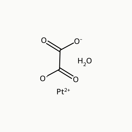 O.O=C([O-])C(=O)[O-].[Pt+2]